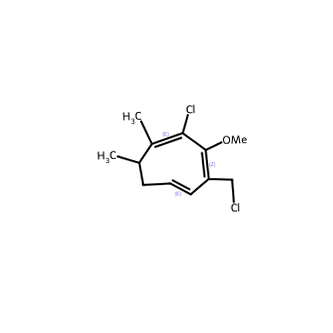 COC1=C(CCl)/C=C/CC(C)/C(C)=C\1Cl